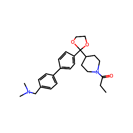 CCC(=O)N1CCC(C2(c3ccc(-c4ccc(CN(C)C)cc4)cc3)OCCO2)CC1